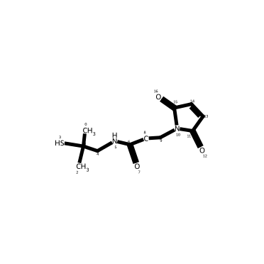 CC(C)(S)CNC(=O)CCN1C(=O)C=CC1=O